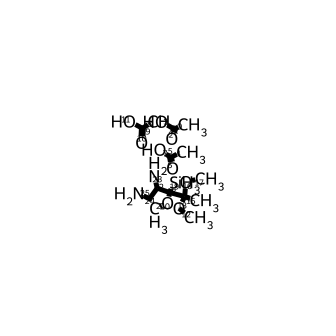 CC(=O)O.CC(=O)O.CC(=O)O.COC(C)(OC)C([SiH3])(OC)C(N)CN